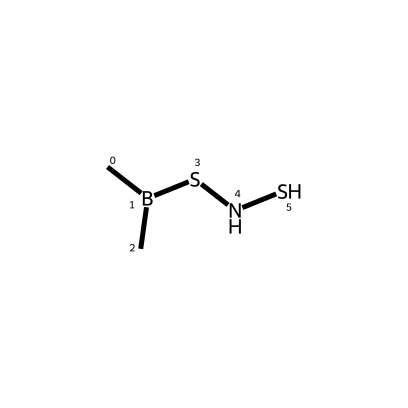 CB(C)SNS